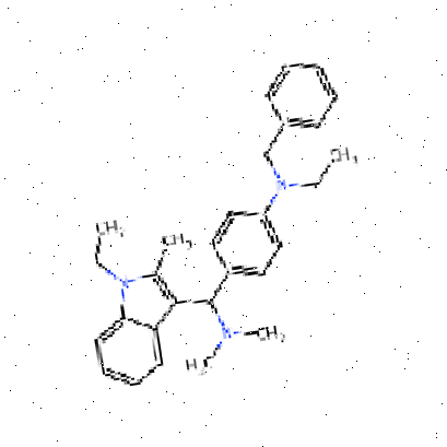 CCN(Cc1ccccc1)c1ccc(C(c2c(C)n(CC)c3ccccc23)N(C)C)cc1